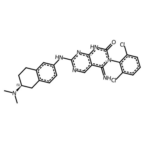 CN(C)[C@H]1CCc2cc(Nc3ncc4c(=N)n(-c5c(Cl)cccc5Cl)c(=O)[nH]c4n3)ccc2C1